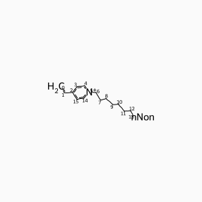 C=Cc1cc[n+](CCCCCCCCCCCCCCCC)cc1